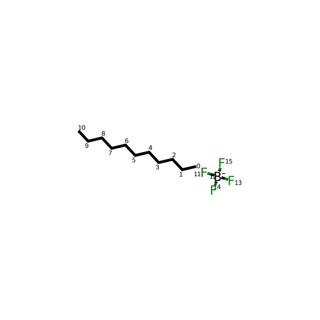 CCCCCCCCCCC.F[B-](F)(F)F